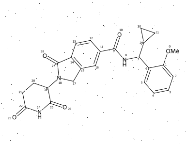 COc1ccccc1C(NC(=O)c1ccc2c(c1)CN(C1CCC(=O)NC1=O)C2=O)C1CC1